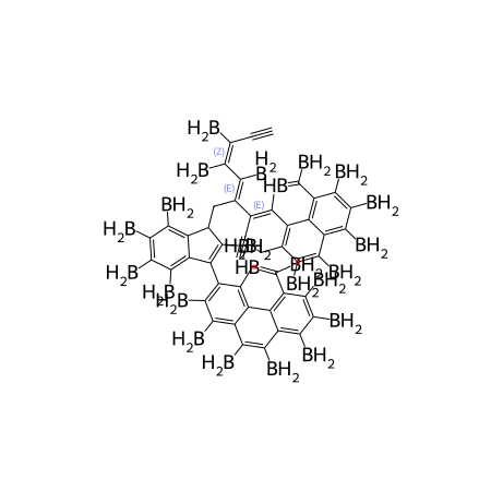 B=C(B)c1c(B)c(B)c(B)c2c(B)c(B)c(CB)c(/C(C)=C(C#C)/C(CC3C(B)=C(c4c(B)c(B)c5c(B)c(B)c6c(B)c(B)c(B)c(C(=B)B)c6c5c4C)c4c(B)c(B)c(B)c(B)c43)=C(B)/C(B)=C(/B)C#C)c12